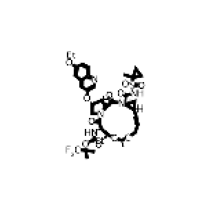 CCOc1ccc2ncc(O[C@@H]3C[C@H]4C(=O)N[C@]5(C(=O)NS(=O)(=O)C6(C)CC6)C[C@H]5/C=C\CC[C@@H](C)C[C@@H](CC)[C@H](NC(=O)OC(C)(C)C(F)(F)F)C(=O)N4C3)cc2c1